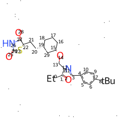 CCc1oc(-c2ccc(C(C)(C)C)cc2)nc1CO[C@H]1CCC[C@@H](CCC2SC(=O)NC2=O)C1